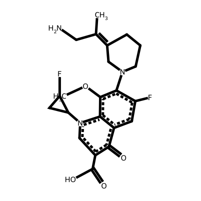 COc1c(N2CCC/C(=C(\C)CN)C2)c(F)cc2c(=O)c(C(=O)O)cn(C3CC3F)c12